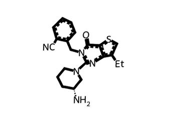 CCc1csc2c(=O)n(Cc3ccccc3C#N)c(N3CCC[C@@H](N)C3)nc12